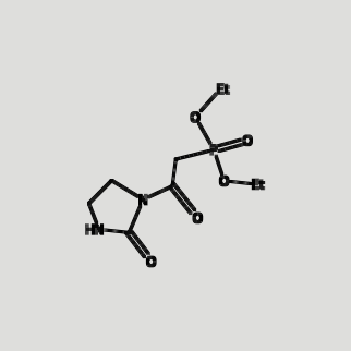 CCOP(=O)(CC(=O)N1CCNC1=O)OCC